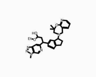 CCOC(O)CC(c1ccc2c(c1)C(N1Cc3cccnc3OC(C)(C)C1)CC2)c1cc2nnn(C)c2cn1